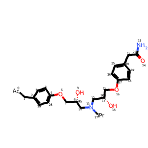 CC(=O)Cc1ccc(OC[C@H](O)CN(C[C@@H](O)COc2ccc(CC(N)=O)cc2)C(C)C)cc1